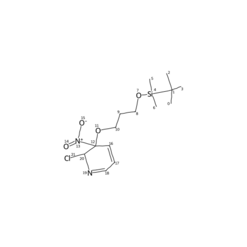 CC(C)(C)[Si](C)(C)OCCCOC1([N+](=O)[O-])C=CC=NC1Cl